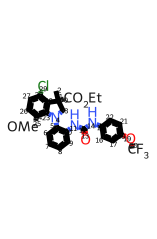 CCOC(=O)C1(C)CN(c2ccccc2NC(=O)Nc2ccc(OC(F)(F)F)cc2)c2c(OC)ccc(Cl)c21